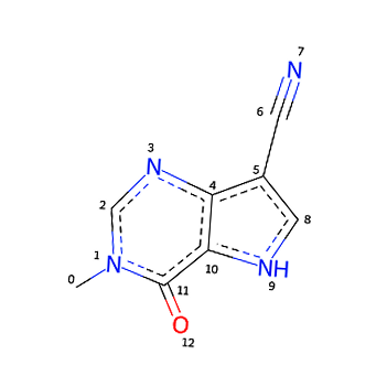 Cn1cnc2c(C#N)c[nH]c2c1=O